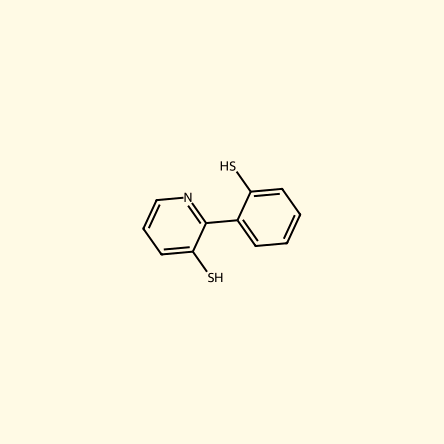 Sc1ccccc1-c1ncccc1S